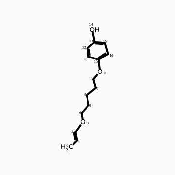 CC=COCCCCCOc1ccc(O)cc1